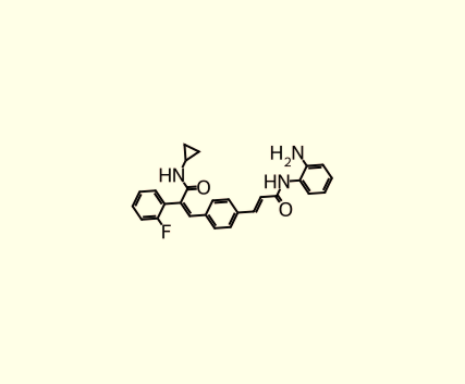 Nc1ccccc1NC(=O)C=Cc1ccc(C=C(C(=O)NC2CC2)c2ccccc2F)cc1